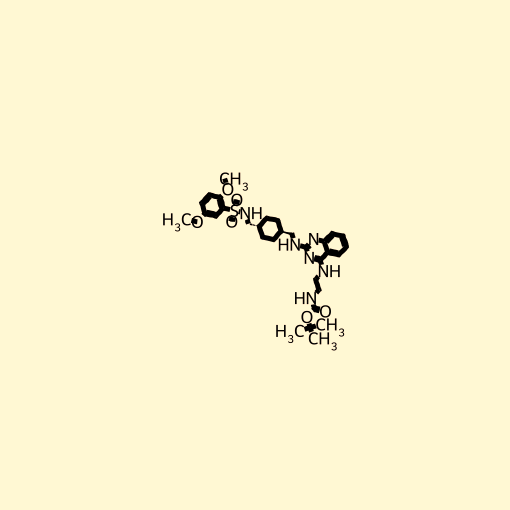 COc1ccc(OC)c(S(=O)(=O)NC[C@H]2CC[C@H](CNc3nc(NCCNC(=O)OC(C)(C)C)c4ccccc4n3)CC2)c1